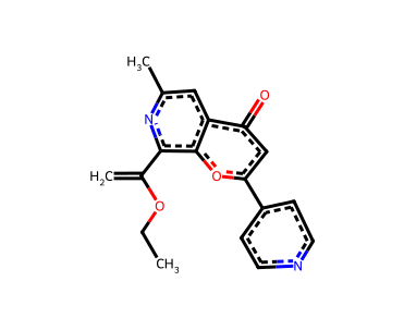 C=C(OCC)c1nc(C)cc2c(=O)cc(-c3ccncc3)oc12